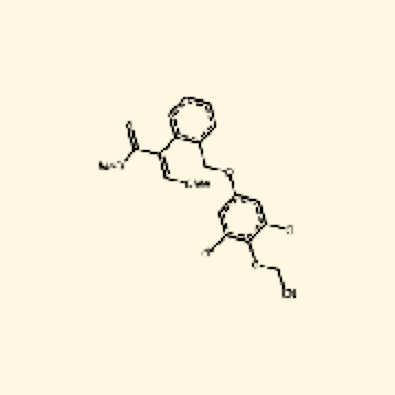 CO/C=C(/C(=O)OC)c1ccccc1COc1cc(Cl)c(OCC#N)c(Cl)c1